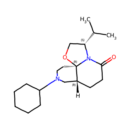 CC(C)[C@H]1CO[C@]23CCN(C4CCCCC4)C[C@H]2CCC(=O)N13